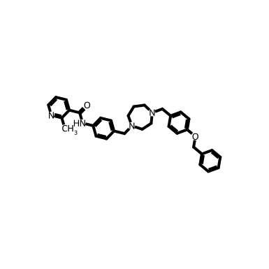 Cc1ncccc1C(=O)Nc1ccc(CN2CCCN(Cc3ccc(OCc4ccccc4)cc3)CC2)cc1